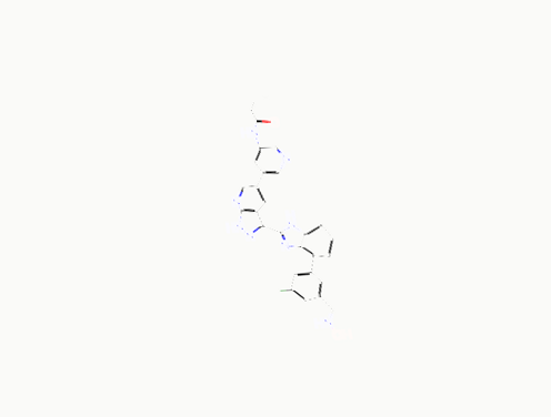 CC(C)(C)CC(=O)Nc1cncc(-c2cnc3[nH]nc(-c4nc5c(-c6cc(F)cc(CNO)c6)cccc5[nH]4)c3c2)c1